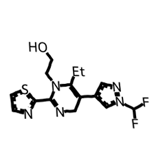 CCC1=C(c2cnn(C(F)F)c2)CN=C(c2nccs2)N1CCO